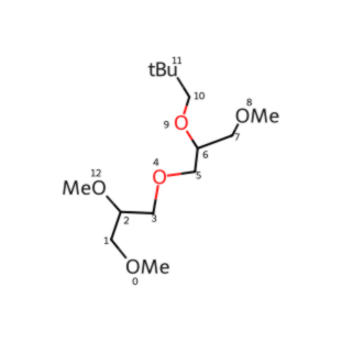 COCC(COCC(COC)OCC(C)(C)C)OC